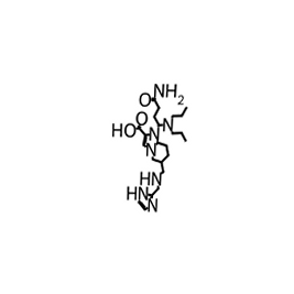 CCCN(CCC)C(CCC(N)=O)N1C(C(=O)O)=CN2CC(CNCc3ncc[nH]3)CCC21